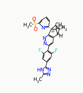 Cc1nnc(-c2cc(F)c(-c3cc4c(nn3)[C@@]3(c5cccc(S(C)(=O)=O)n5)CC[C@@H]4C3(C)C)c(F)c2)[nH]1